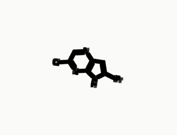 CC(C)c1cc2ncc(Cl)nc2[nH]1